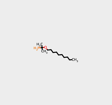 CCCCCCCCCCOC(C)(C)P